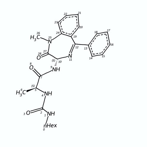 CCCCCCNC(=O)N[C@@H](C)C(=O)N[C@H]1N=C(c2ccccc2)c2ccccc2N(C)C1=O